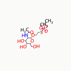 CCOP(=O)(OC)SCCOC1OC(CO)C(O)C(O)C1NC(C)=O